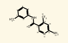 Cc1cccc(NC(=O)c2cnc(N)cc2C(F)(F)F)c1